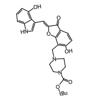 CC(C)(C)OC(=O)N1CCN(Cc2c(O)ccc3c2O/C(=C\c2c[nH]c4cccc(O)c24)C3=O)CC1